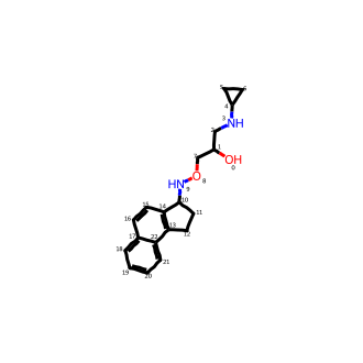 OC(CNC1CC1)CONC1CCc2c1ccc1ccccc21